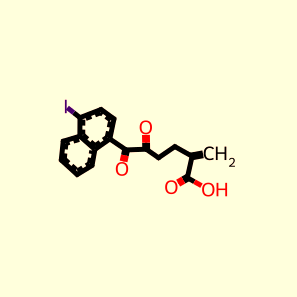 C=C(CCC(=O)C(=O)c1ccc(I)c2ccccc12)C(=O)O